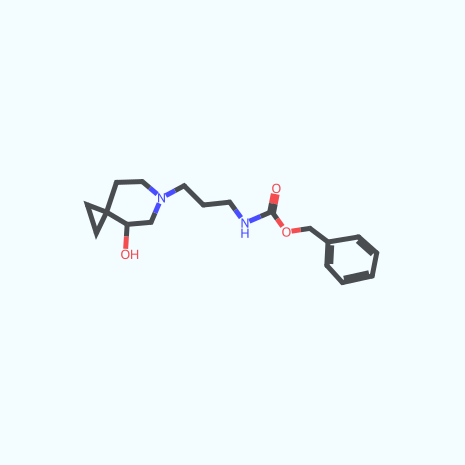 O=C(NCCCN1CCC2(CC2)C(O)C1)OCc1ccccc1